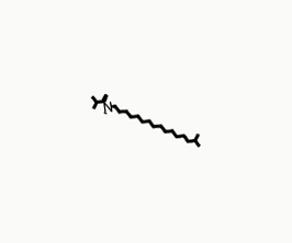 C=C(C(C)C)N(C)CCCCCCCCCCCCCCC(C)C